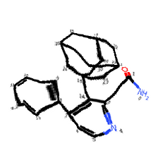 NC(=O)c1nccc(-c2ccccc2)c1C12CC3CC(CC(C3)C1)C2